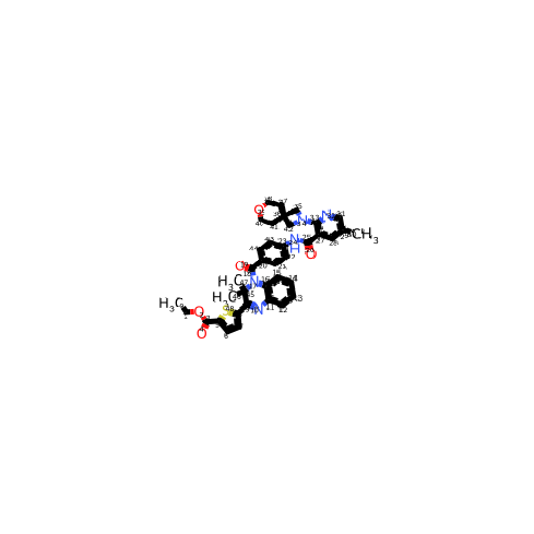 CCOC(=O)c1ccc(C2=Nc3ccccc3N(C(=O)c3ccc(NC(=O)c4cc(C)cnc4N4CC5(CCOCC5)C4)cc3)C2(C)C)s1